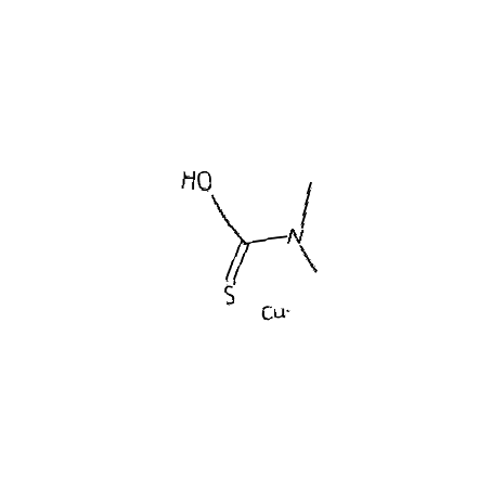 CN(C)C(O)=S.[Cu]